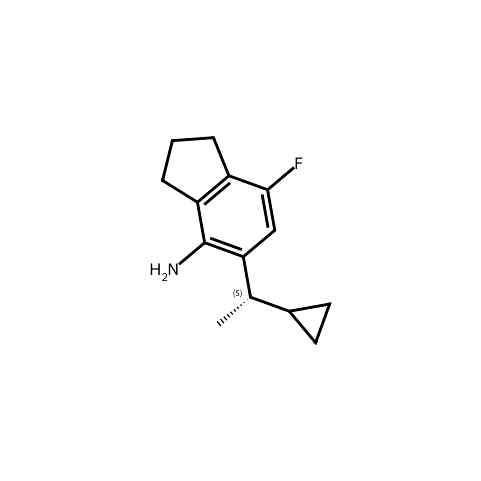 C[C@H](c1cc(F)c2c(c1N)CCC2)C1CC1